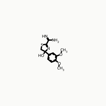 COc1ccc(C2(O)CSC(C(=N)N)=N2)cc1OC